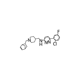 Fc1ccc(Cl)c(-c2ccc(NCC3CCN(CC4CC5C=CC4C5)CC3)nn2)c1